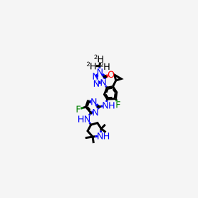 [2H]C([2H])([2H])n1nnn(-c2cc(Nc3ncc(F)c(NC4CC(C)(C)NC(C)(C)C4)n3)c(F)cc2C2CC2)c1=O